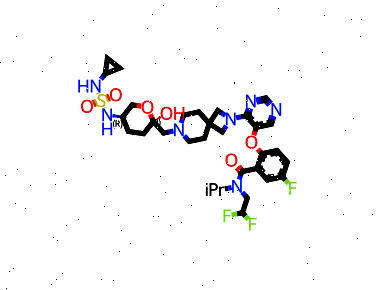 CC(C)N(CC(F)F)C(=O)c1cc(F)ccc1Oc1cncnc1N1CC2(CCN(C[C@@]3(O)CC[C@@H](NS(=O)(=O)NC4CC4)CO3)CC2)C1